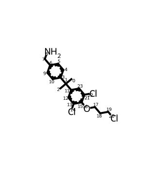 CC(C)(c1ccc(CN)cc1)c1cc(Cl)c(OCCCCl)c(Cl)c1